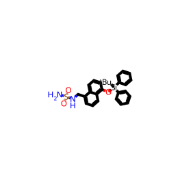 CC(C)(C)[Si](Oc1cccc2c(CNS(N)(=O)=O)cccc12)(c1ccccc1)c1ccccc1